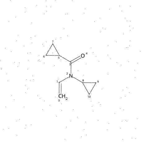 C=CN(C(=O)C1CC1)C1CC1